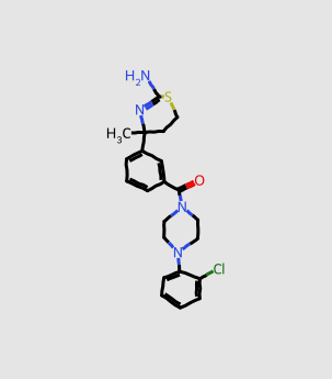 CC1(c2cccc(C(=O)N3CCN(c4ccccc4Cl)CC3)c2)CCSC(N)=N1